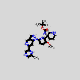 COc1ccc(-n2ncc3cnc(-c4cncc(C)n4)cc32)nc1[C@]1(NC(=O)OC(C)(C)C)CCCNC1